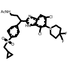 CC(=O)NCCC(c1ccc(S(=O)(=O)CC2CC2)cc1)c1nc2cc(Cl)c(N3CCC(F)(F)CC3)c(Cl)c2[nH]1